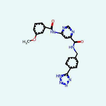 COc1cccc(C(=O)Nc2cc(C(=O)NCc3ccc(-c4nnn[nH]4)cc3)ncn2)c1